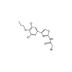 CCCOc1c(Cl)cc(-c2csc(NC(=O)CBr)n2)cc1Cl